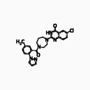 Cc1ccc(-n2cccn2)c(C(=O)N2CCCN(c3nc4ccc(Cl)cc4c(=O)[nH]3)CC2)c1